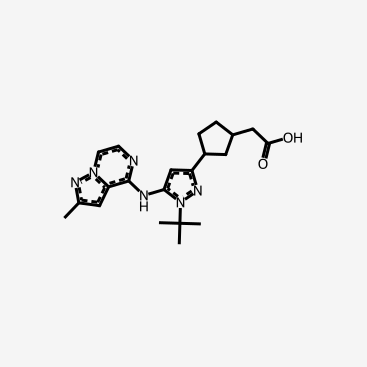 Cc1cc2c(Nc3cc(C4CCC(CC(=O)O)C4)nn3C(C)(C)C)nccn2n1